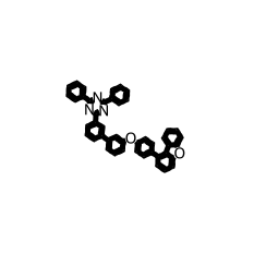 c1ccc(-c2nc(-c3ccccc3)nc(-c3cccc(-c4cccc(Oc5ccc(-c6cccc7oc8ccccc8c67)cc5)c4)c3)n2)cc1